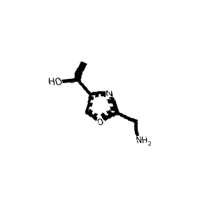 C=C(O)c1coc(CN)n1